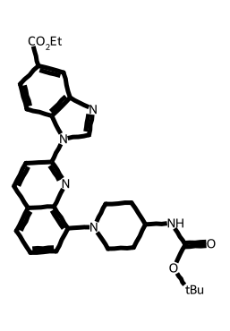 CCOC(=O)c1ccc2c(c1)ncn2-c1ccc2cccc(N3CCC(NC(=O)OC(C)(C)C)CC3)c2n1